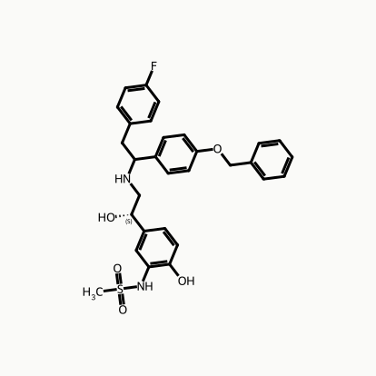 CS(=O)(=O)Nc1cc([C@H](O)CNC(Cc2ccc(F)cc2)c2ccc(OCc3ccccc3)cc2)ccc1O